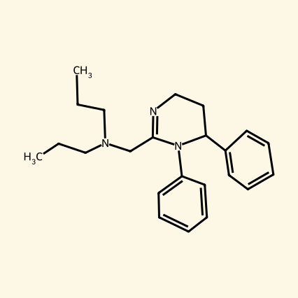 CCCN(CCC)CC1=NCCC(c2ccccc2)N1c1ccccc1